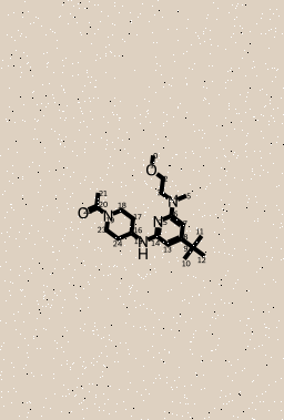 COCCN(C)c1cc(C(C)(C)C)cc(NC2CCN(C(C)=O)CC2)n1